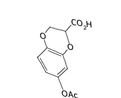 CC(=O)Oc1ccc2c(c1)OC(C(=O)O)CO2